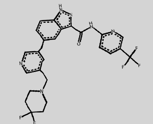 O=C(Nc1ccc(C(F)(F)F)cn1)c1n[nH]c2ccc(-c3cncc(CN4CCC(F)(F)CC4)c3)cc12